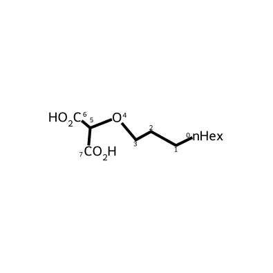 CCCCCCCCCOC(C(=O)O)C(=O)O